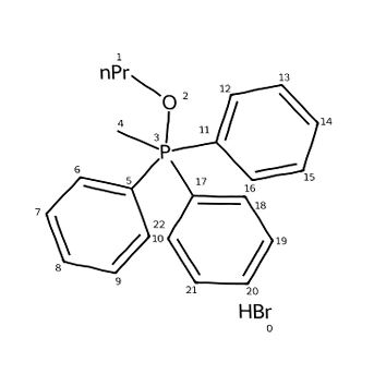 Br.CCCOP(C)(c1ccccc1)(c1ccccc1)c1ccccc1